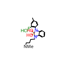 CNCCCCN1c2ccccc2N(c2ccc(C)cc2F)S1(O)O.Cl